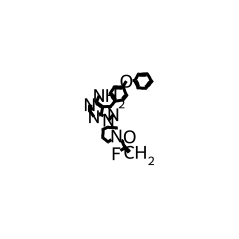 C=C(F)C(=O)N1CCC[C@@H](n2nc(-c3ccc(Oc4ccccc4)cc3)c3c(N)ncnc32)C1